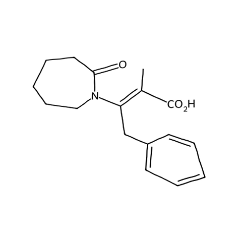 CC(C(=O)O)=C(Cc1ccccc1)N1CCCCCC1=O